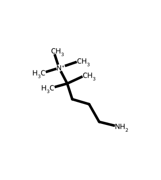 CC(C)(CCCN)[N+](C)(C)C